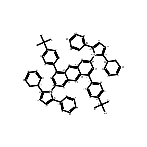 CC(C)(C)c1ccc(-c2cc(-n3c(-c4ccccc4)ccc3C3C=CC=CC3)cc3cc4c(-c5ccc(C(C)(C)C)cc5)cc(-n5c(-c6ccccc6)ccc5C5C=CC=CC5)cc4cc23)cc1